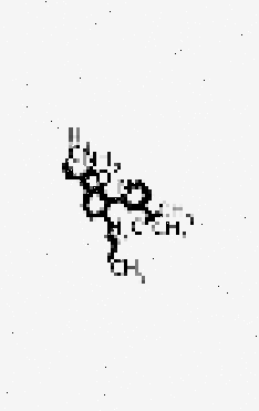 C/C=C\c1c(N)oc2c1=CCC(CC=CCC)C=2c1cc(C(C)(C)C)ccn1